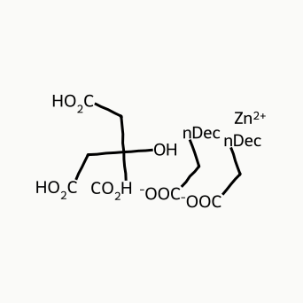 CCCCCCCCCCCC(=O)[O-].CCCCCCCCCCCC(=O)[O-].O=C(O)CC(O)(CC(=O)O)C(=O)O.[Zn+2]